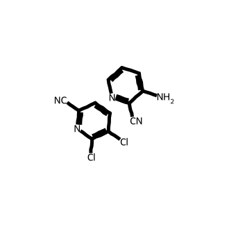 N#Cc1ccc(Cl)c(Cl)n1.N#Cc1ncccc1N